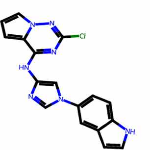 Clc1nc(Nc2cn(-c3ccc4[nH]ccc4c3)cn2)c2cccn2n1